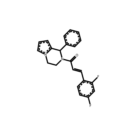 O=C(/C=C/c1ccc(F)cc1F)N1CCn2cccc2C1c1ccccc1